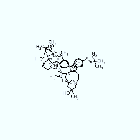 CC[C@]1(O)C[C@H]2CN(CCc3c([nH]c4ccc(SSC(C)(C)C)cc34)[C@@](C(=O)OC)(c3cc4c(cc3OC)N(C)[C@H]3[C@@](O)(C(=O)OC)[C@H](OC(C)=O)[C@]5(CC)C=CCN6CC[C@]43[C@@H]65)C2)C1